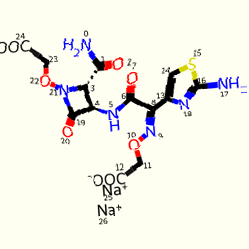 NC(=O)[C@@H]1[C@@H](NC(=O)/C(=N\OCC(=O)[O-])c2csc(N)n2)C(=O)N1OCC(=O)[O-].[Na+].[Na+]